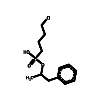 CC(Cc1ccccc1)OP(=O)(O)CCCCCl